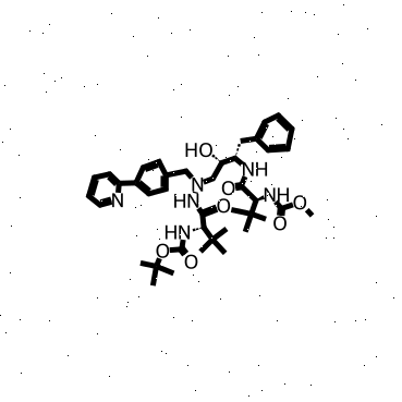 COC(=O)N[C@H](C(=O)N[C@@H](Cc1ccccc1)[C@@H](O)CN(Cc1ccc(-c2ccccn2)cc1)NC(=O)[C@@H](NC(=O)OC(C)(C)C)C(C)(C)C)C(C)(C)C